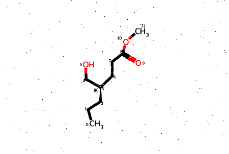 CCC[C@@H](CO)CCC(=O)OC